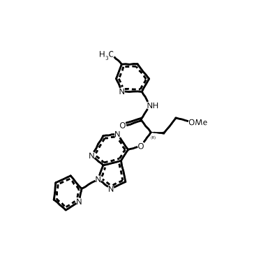 COCC[C@@H](Oc1ncnc2c1cnn2-c1ccccn1)C(=O)Nc1ccc(C)cn1